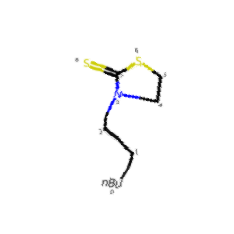 CCCCCCN1CCSC1=S